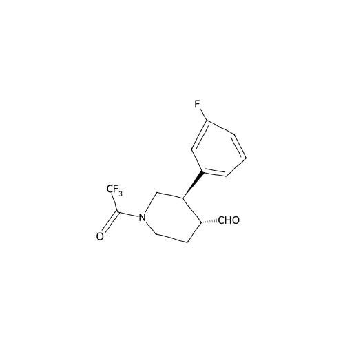 O=C[C@@H]1CCN(C(=O)C(F)(F)F)C[C@H]1c1cccc(F)c1